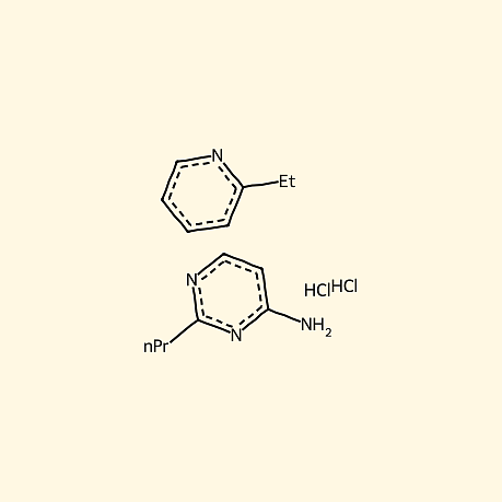 CCCc1nccc(N)n1.CCc1ccccn1.Cl.Cl